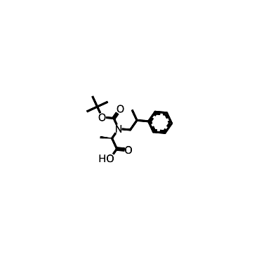 CC(CN(C(=O)OC(C)(C)C)[C@H](C)C(=O)O)c1ccccc1